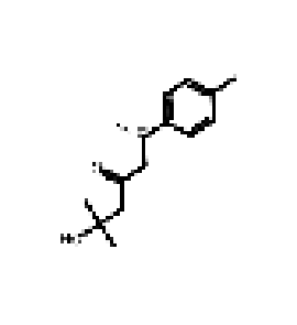 Cc1ccc([C@@H](C)CC(=O)CC(C)(C)O)cc1